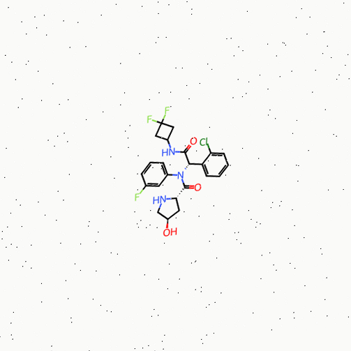 O=C(NC1CC(F)(F)C1)[C@H](c1ccccc1Cl)N(C(=O)[C@@H]1C[C@@H](O)CN1)c1cccc(F)c1